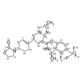 C[C@@H]1CN2C=C(C3=CCC(N4CCOC4=O)CC3)C=C(C(=O)N[C@H](C)c3cccc(C(F)(F)F)c3F)C2=N1